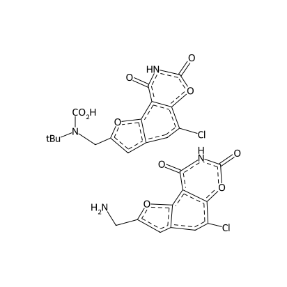 CC(C)(C)N(Cc1cc2cc(Cl)c3oc(=O)[nH]c(=O)c3c2o1)C(=O)O.NCc1cc2cc(Cl)c3oc(=O)[nH]c(=O)c3c2o1